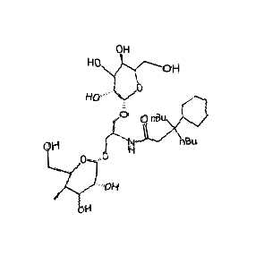 CCCCC(CCCC)(CC(=O)NC(CO[C@H]1OC(CO)[C@H](C)C(O)[C@H]1O)CO[C@H]1OC(CO)[C@H](O)C(O)[C@H]1O)C1CCCCC1